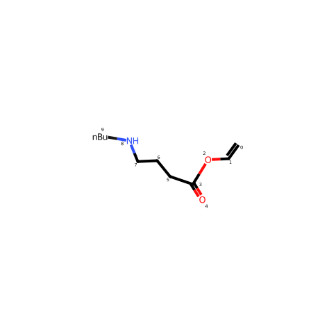 C=COC(=O)CCCNCCCC